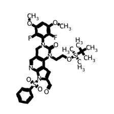 COc1cc(OC)c(F)c(N2Cc3cnc4c(cc(C=O)n4S(=O)(=O)c4ccccc4)c3N(CCO[Si](C)(C)C(C)(C)C)C2=O)c1F